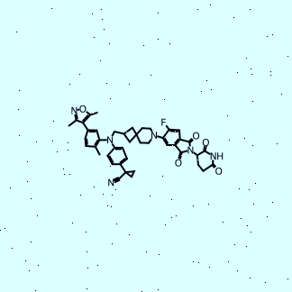 Cc1ccc(-c2c(C)noc2C)cc1N(CC1CC2(CCN(c3cc4c(cc3F)C(=O)N(C3CCC(=O)NC3=O)C4=O)CC2)C1)c1ccc(C2(C#N)CC2)cc1